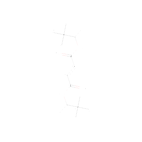 CC(OC(=O)/C=C/C(=O)OC(C)C(C)(C)C)C(C)(C)C